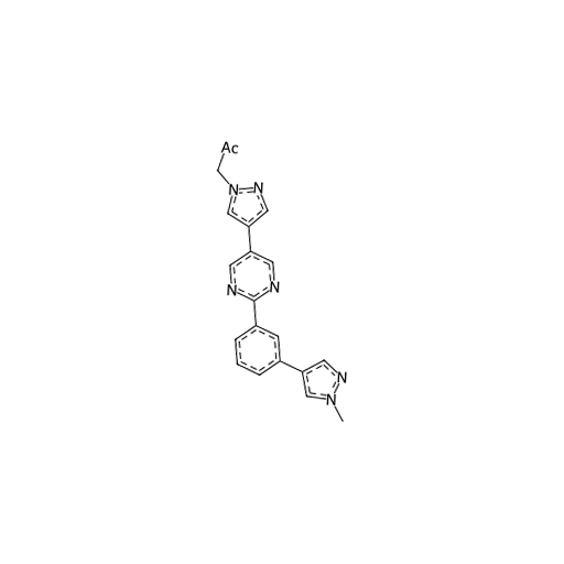 CC(=O)Cn1cc(-c2cnc(-c3cccc(-c4cnn(C)c4)c3)nc2)cn1